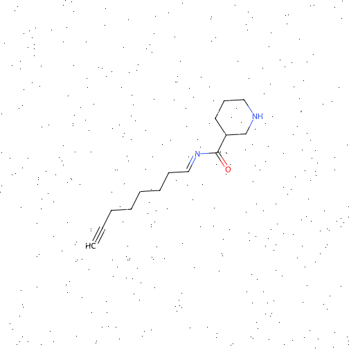 C#CCCCCCC=NC(=O)C1CCCNC1